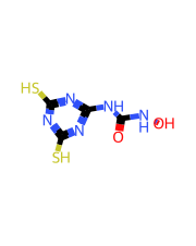 O=C(NO)Nc1nc(S)nc(S)n1